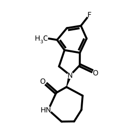 Cc1cc(F)cc2c1CN([C@H]1CCCCNC1=O)C2=O